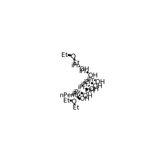 CC(C)O.CC(C)O.CC(C)O.CC(C)O.CC(C)O.CC(C)O.CC(C)O.CC(C)O.CCCCCC.CCOCC.CCOCC